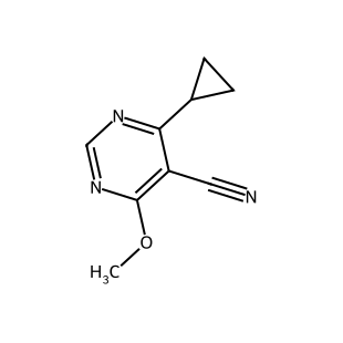 COc1ncnc(C2CC2)c1C#N